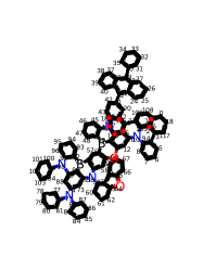 c1ccc(-c2ccccc2N(c2cc3c4c(c2)N(c2ccc(-c5c6ccccc6c(-c6ccccc6)c6ccccc56)cc2)c2ccccc2B4c2cc4c(cc2O3)N(c2cccc3oc5ccccc5c23)c2cc(N(c3ccccc3)c3ccccc3)cc3c2B4c2ccccc2N3c2ccccc2)c2ccccc2-c2ccccc2)cc1